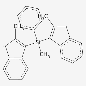 CC1=C([Si](C)(C2=C(C)[CH]c3ccccc32)c2ccccc2)c2ccccc2[CH]1